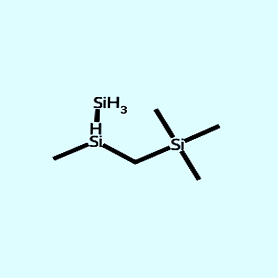 C[SiH]([SiH3])C[Si](C)(C)C